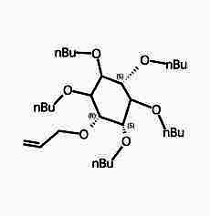 C=CCO[C@@H]1C(OCCCC)C(OCCCC)[C@H](OCCCC)C(OCCCC)[C@@H]1OCCCC